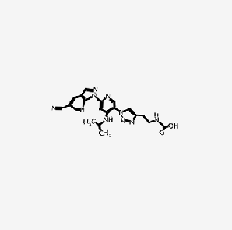 CC(C)Nc1cc(-n2ncc3cc(C#N)cnc32)ncc1-n1cc(CCNC(=O)O)nn1